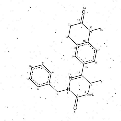 CC1NC(=O)N(Cc2ccccc2)N=C1c1ccc2c(c1)CCC(=O)N2C